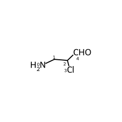 NCC(Cl)C=O